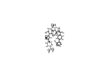 COC(OC)C1CCN(c2cc(C(C(=O)N3C[C@H](O)C[C@H]3C(=O)N[C@@H](C)c3ccc(-c4scnc4C)cc3)C(C)C)on2)CC1